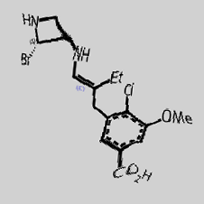 CC/C(=C\NC1CN[C@H]1Br)Cc1cc(C(=O)O)cc(OC)c1Cl